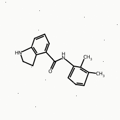 Cc1cccc(NC(=O)c2cccc3c2CCN3)c1C